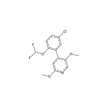 COc1cc(-c2cc(Cl)ccc2OC(F)F)c(OC)cn1